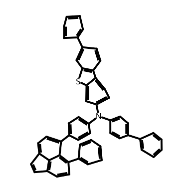 C1=Cc2ccc(-c3ccc(N(c4ccc(-c5ccccc5)cc4)c4ccc5c(c4)sc4cc(-c6ccccc6)ccc45)cc3)c3c(-c4ccccc4)ccc1c23